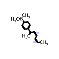 C=C(/C=C\C=C/C)c1ccc(B(C)C)cc1